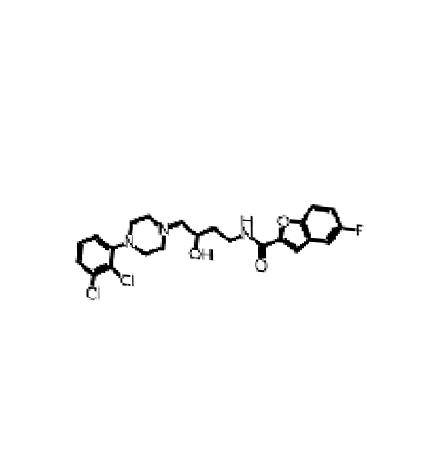 O=C(NCCC(O)CN1CCN(c2cccc(Cl)c2Cl)CC1)c1cc2cc(F)ccc2o1